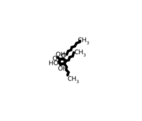 CCCCCCCCOc1c(CCCCC)c(CCCCC)c(O)c(O)c1C(=O)O